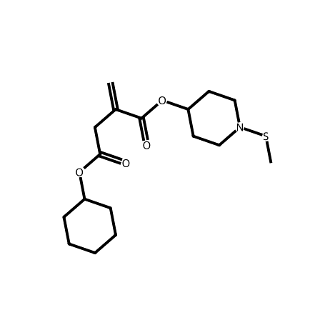 C=C(CC(=O)OC1CCCCC1)C(=O)OC1CCN(SC)CC1